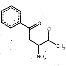 CC(Cl)C(CC(=O)c1ccccc1)[N+](=O)[O-]